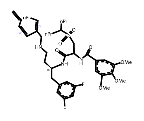 C=C/C=C\C(=C/CCC)CNCC[C@H](Cc1cc(F)cc(F)c1)NC(=O)C(CS(=O)(=O)C(CCC)CCC)NC(=O)c1cc(OC)c(OC)c(OC)c1